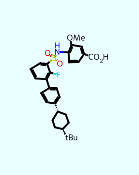 COc1cc(C(=O)O)ccc1NS(=O)(=O)c1cccc(-c2ccc([C@H]3CC[C@H](C(C)(C)C)CC3)cc2)c1F